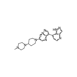 CN1CCN(C2CCN(c3cnc4c(-c5ccnc6cn[nH]c56)cnn4c3)CC2)CC1